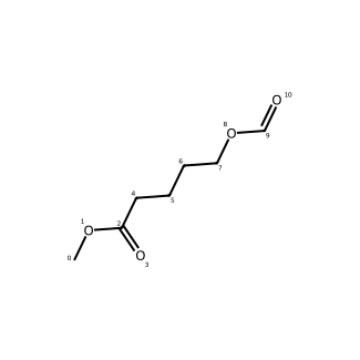 COC(=O)CCCCOC=O